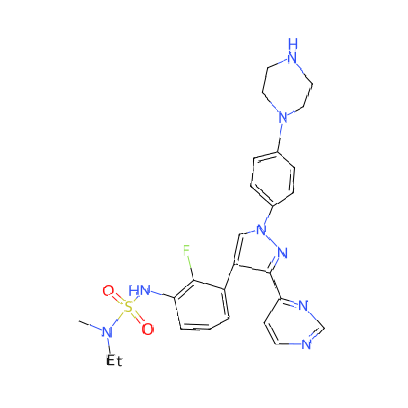 CCN(C)S(=O)(=O)Nc1cccc(-c2cn(-c3ccc(N4CCNCC4)cc3)nc2-c2ccncn2)c1F